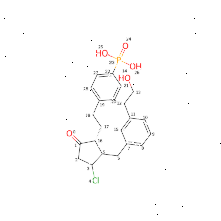 O=C1CC(Cl)C(Cc2cccc(CCO)c2)[C@H]1CCc1ccc(P(=O)(O)O)cc1